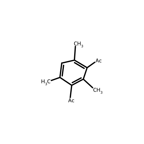 CC(=O)c1c(C)cc(C)c(C(C)=O)c1C